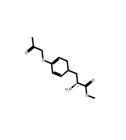 COC(=O)[C@@H](N)CC1C=CC(OCC(C)=O)=CC1